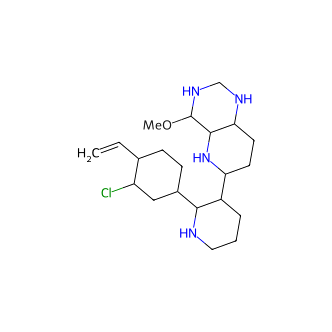 C=CC1CCC(C2NCCCC2C2CCC3NCNC(OC)C3N2)CC1Cl